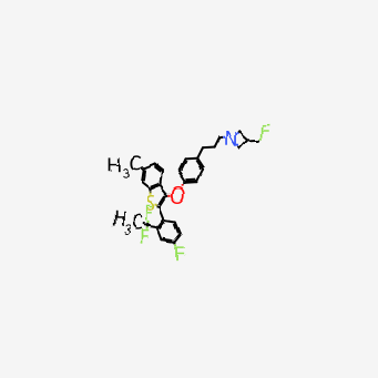 Cc1ccc2c(Oc3ccc(CCCN4CC(CF)C4)cc3)c(-c3ccc(F)cc3C(C)(F)F)sc2c1